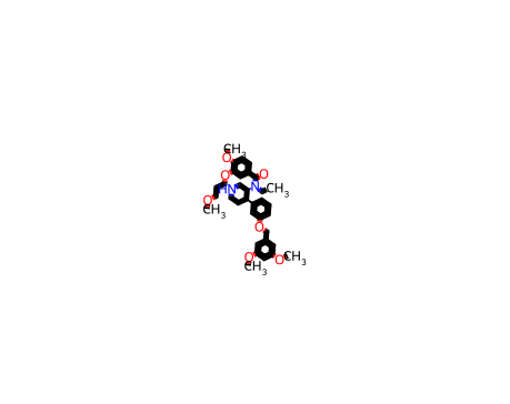 CCN(C(=O)c1ccc(OC)c(OCCCOC)c1)[C@H]1CNCC[C@@H]1c1cccc(OCc2cc(OC)cc(OC)c2)c1